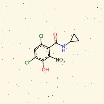 O=C(NC1CC1)c1c(Cl)cc(Cl)c(O)c1[N+](=O)[O-]